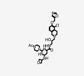 CC(=O)N1CCN(C2NC(NC3COC3)CC(C(=O)NC[C@H](O)CN3CCc4c(ccc(OCc5cnco5)c4Cl)C3)N2)CC1